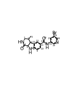 CC1CNC(=O)C2Nc3ccc(C(=O)Nc4cncc(Br)c4)cc3C12